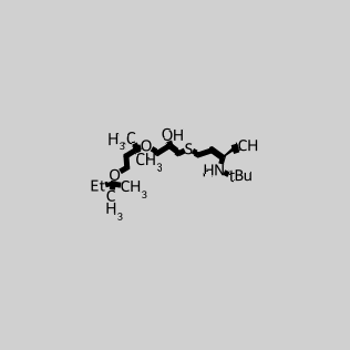 C#C[C@H](CCSCC(O)COC(C)(C)CCOC(C)(C)CC)NC(C)(C)C